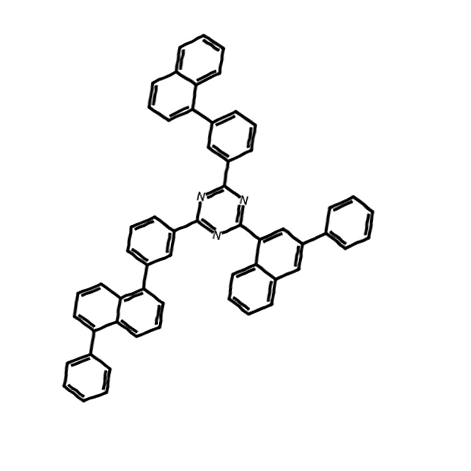 c1ccc(-c2cc(-c3nc(-c4cccc(-c5cccc6ccccc56)c4)nc(-c4cccc(-c5cccc6c(-c7ccccc7)cccc56)c4)n3)c3ccccc3c2)cc1